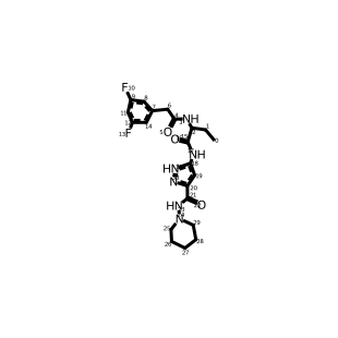 CCC(NC(=O)Cc1cc(F)cc(F)c1)C(=O)Nc1cc(C(=O)NN2CCCCC2)n[nH]1